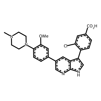 COc1cc(-c2cnc3[nH]cc(-c4ccc(C(=O)O)cc4Cl)c3c2)ccc1N1CCN(C)CC1